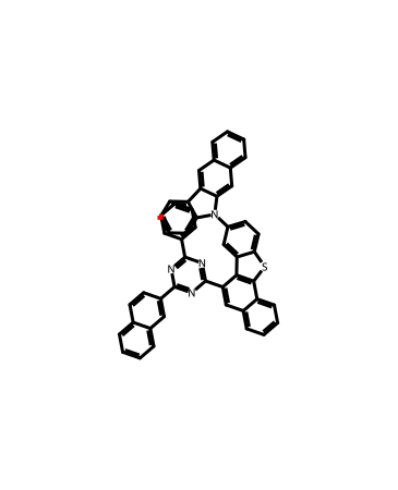 c1ccc(-c2nc(-c3ccc4ccccc4c3)nc(-c3cc4ccccc4c4sc5ccc(-n6c7ccccc7c7cc8ccccc8cc76)cc5c34)n2)cc1